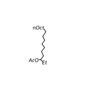 CCCCCCCCCCCCCCCC(CC)OC(C)=O